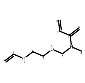 C=COCCOCN(C)C(=C)C=C